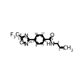 C=CCNC(=O)c1ccc(-c2noc(C(F)(F)F)n2)cc1